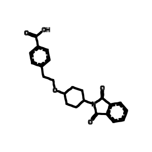 O=C(O)c1ccc(CCOC2CCC(N3C(=O)c4ccccc4C3=O)CC2)cc1